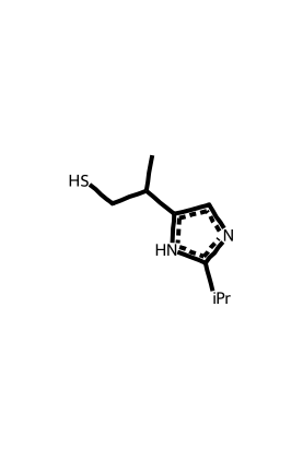 CC(C)c1ncc(C(C)CS)[nH]1